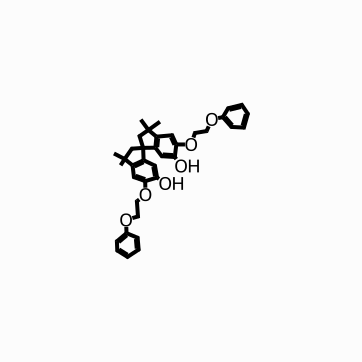 CC1(C)CC2(CC(C)(C)c3cc(OCCOc4ccccc4)c(O)cc32)c2cc(O)c(OCCOc3ccccc3)cc21